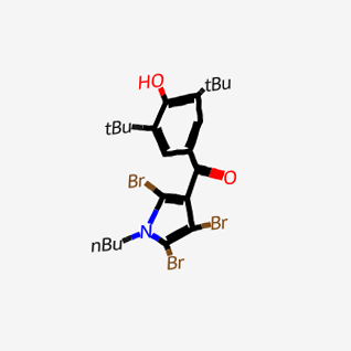 CCCCn1c(Br)c(Br)c(C(=O)c2cc(C(C)(C)C)c(O)c(C(C)(C)C)c2)c1Br